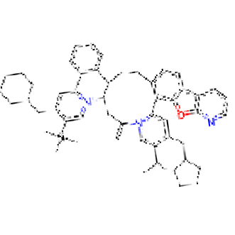 C=C1CC2C(CCc3ccc4c(oc5ncccc54)c3-c3cc(CC4CCCC4)c(C(C)C)c[n+]31)c1ccccc1-c1cc(CC3CCCCC3)c([Si](C)(C)C)c[n+]12